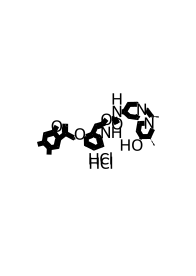 Cc1cc2occ(COc3cccc4[nH]c(OC(=O)NC5CCN(C[C@H](C)N6CC[C@H](O)[C@@H](C)C6)CC5)cc34)c2cc1C.Cl.Cl